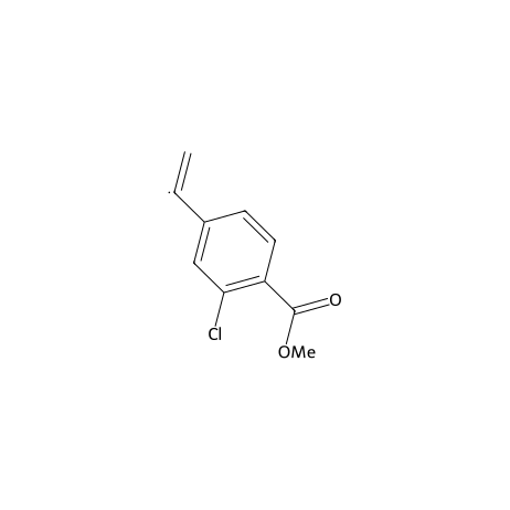 C=[C]c1ccc(C(=O)OC)c(Cl)c1